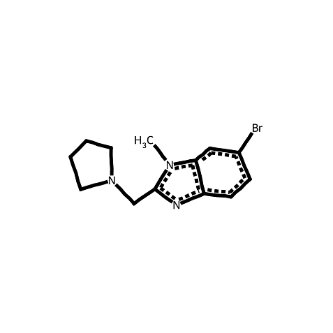 Cn1c(CN2CCCC2)nc2ccc(Br)cc21